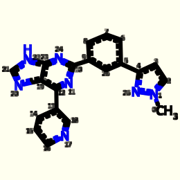 Cn1ccc(-c2cccc(-c3nc(-c4cccnc4)c4nc[nH]c4n3)c2)n1